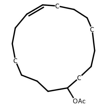 CC(=O)OC1CCCCCCC=CCCCCCCC1